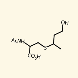 CC(=O)NC(CSC(C)CCO)C(=O)O